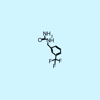 NC(=O)NCc1cccc(C(F)(F)F)c1